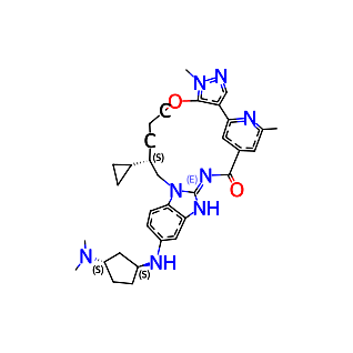 Cc1cc2cc(n1)-c1cnn(C)c1OCCC[C@@H](C1CC1)CN1/C(=N/C2=O)Nc2cc(N[C@H]3CC[C@H](N(C)C)C3)ccc21